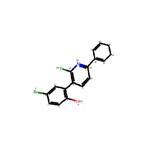 Oc1ccc(Br)cc1-c1ccc(C2=CCCC=C2)nc1F